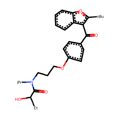 CCCCc1oc2ccccc2c1C(=O)c1ccc(OCCCN(C(=O)C(O)CC)C(C)C)cc1